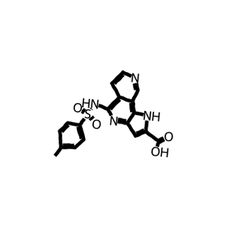 Cc1ccc(S(=O)(=O)Nc2nc3cc(C(=O)O)[nH]c3c3cnccc23)cc1